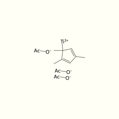 CC(=O)[O-].CC(=O)[O-].CC(=O)[O-].CC1=C[C](C)([Ti+3])C(C)=C1